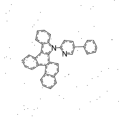 c1ccc(-c2ccc(-n3c4ccccc4c4c5ccccc5c5c6ccccc6ccc5c43)nc2)cc1